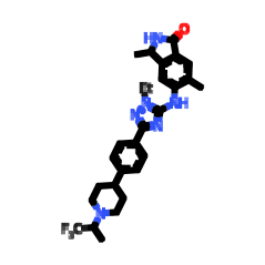 CCn1nc(-c2ccc(C3CCN(C(C)C(F)(F)F)CC3)cc2)nc1Nc1cc2c(cc1C)C(=O)NC2C